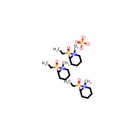 CCP1(=O)C2CCCC[N+]21C.CCP1(=O)C2CCCC[N+]21C.CCP1(=O)C2CCCC[N+]21C.O=P([O-])([O-])[O-]